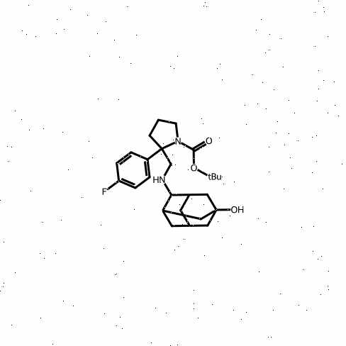 CC(C)(C)OC(=O)N1CCCC1(CNC1C2CC3CC1CC(O)(C3)C2)c1ccc(F)cc1